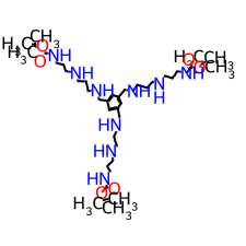 CC(C)(C)OC(=O)NCCCNCCCNCc1cc(CNCCCNCCCNC(=O)OC(C)(C)C)cc(CNCCCNCCCNC(=O)OC(C)(C)C)c1